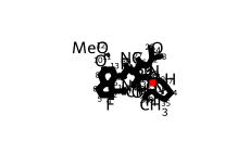 C#Cc1c(F)ccc2cc(OCOC)cc(-c3nc4c5c(nc(C6COC6)c(C#N)c5c3F)N3C[C@H]5CC[C@@H]([C@H]3[C@H](C)O4)N5C(=O)OC(C)(C)C)c12